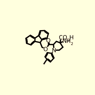 Cc1ccc(N2CCC(N)(C(=O)O)CC2C(=O)OCC2c3ccccc3-c3ccccc32)cc1